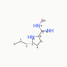 CCC[C@H]1CCC(C(=N)NI)N1